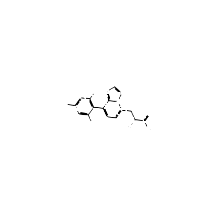 N[C@@H](Cc1ccc(-c2c(Cl)cc(F)cc2Cl)c2nccn12)C(=O)O